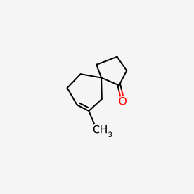 CC1=CCCC2(CCCC2=O)C1